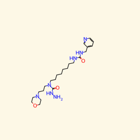 NNC(=O)N(CCCCCCCCNC(=O)NCc1cccnc1)CCCN1CCOCC1